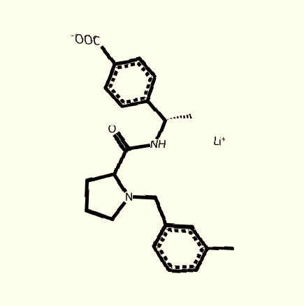 Cc1cccc(CN2CCCC2C(=O)N[C@@H](C)c2ccc(C(=O)[O-])cc2)c1.[Li+]